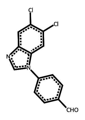 O=Cc1ccc(-n2cnc3cc(Cl)c(Cl)cc32)cc1